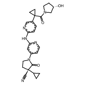 N#C[C@@]1(C2CC2)CCN(c2ccnc(Nc3ccc(C4(C(=O)N5CC[C@H](O)C5)CC4)cn3)c2)C1=O